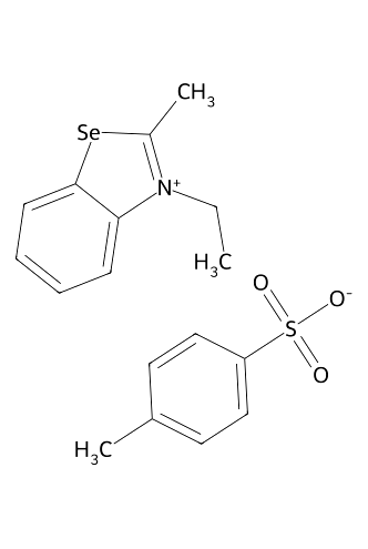 CC[n+]1c(C)[se]c2ccccc21.Cc1ccc(S(=O)(=O)[O-])cc1